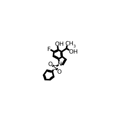 CC(O)c1c(O)c(F)cc2c1ccn2S(=O)(=O)c1ccccc1